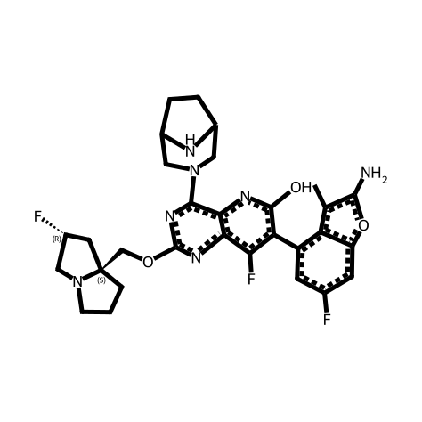 Cc1c(N)oc2cc(F)cc(-c3c(O)nc4c(N5CC6CCC(C5)N6)nc(OC[C@@]56CCCN5C[C@H](F)C6)nc4c3F)c12